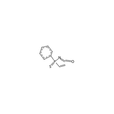 C=CP(=S)(N=C=O)c1ccccc1